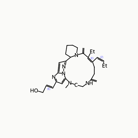 C=C1CCC(/C=C\CC)=C(/CC)C(=C)N2CCCCC2c2cc3nc(/C=C/CO)cc(n3n2)N(C)CCN1